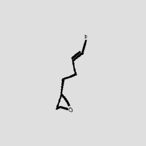 FC=CCCC1CO1